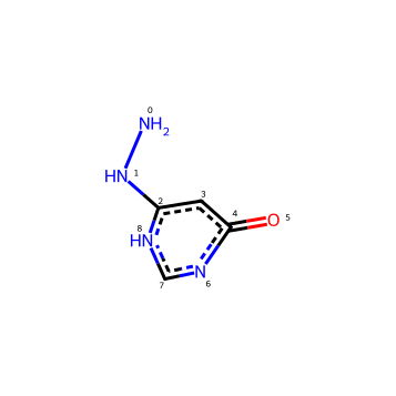 NNc1cc(=O)nc[nH]1